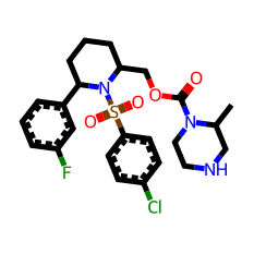 CC1CNCCN1C(=O)OCC1CCCC(c2cccc(F)c2)N1S(=O)(=O)c1ccc(Cl)cc1